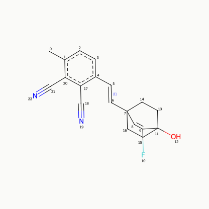 Cc1ccc(/C=C/C23C=C(F)C(O)(CC2)CC3)c(C#N)c1C#N